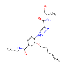 C=CCCCOc1cc(C(=O)NCC(F)(F)F)ccc1-n1cc(C(=O)NC(C)CO)nn1